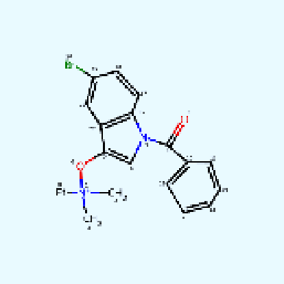 CC[N+](C)(C)Oc1cn(C(=O)c2ccccc2)c2ccc(Br)cc12